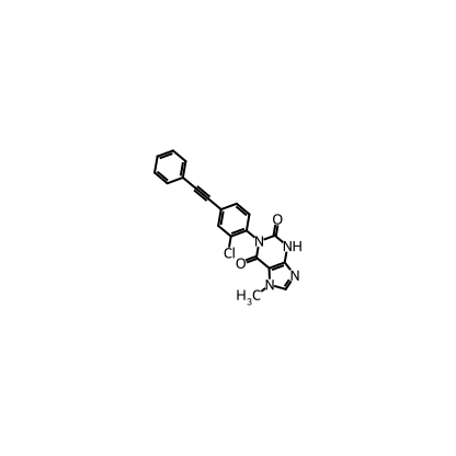 Cn1cnc2[nH]c(=O)n(-c3ccc(C#Cc4ccccc4)cc3Cl)c(=O)c21